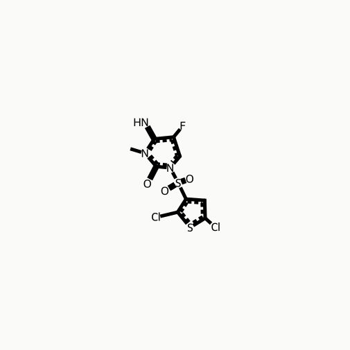 Cn1c(=N)c(F)cn(S(=O)(=O)c2cc(Cl)sc2Cl)c1=O